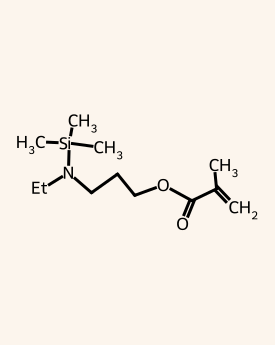 C=C(C)C(=O)OCCCN(CC)[Si](C)(C)C